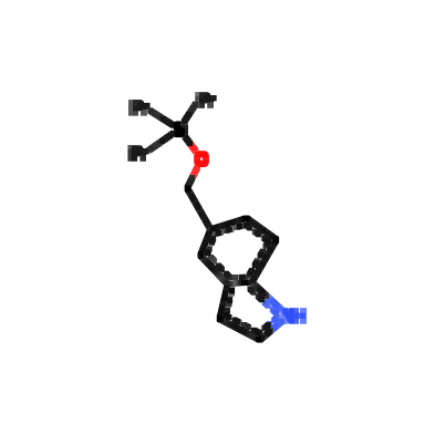 CC(C)[Si](OCc1ccc2[nH]ccc2c1)(C(C)C)C(C)C